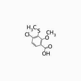 COc1c(C(=O)O)ccc(Cl)c1SC